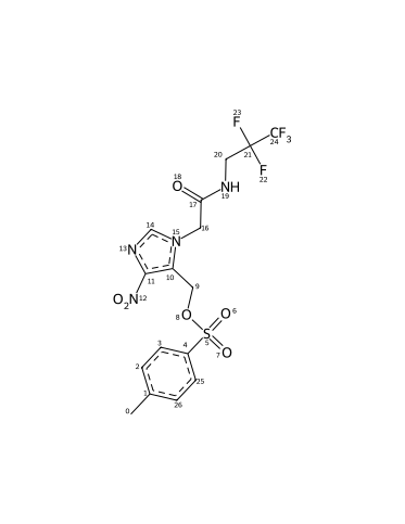 Cc1ccc(S(=O)(=O)OCc2c([N+](=O)[O-])ncn2CC(=O)NCC(F)(F)C(F)(F)F)cc1